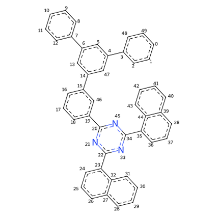 c1ccc(-c2cc(-c3ccccc3)cc(-c3cccc(-c4nc(-c5cccc6ccccc56)nc(-c5cccc6ccccc56)n4)c3)c2)cc1